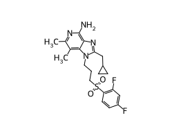 Cc1nc(N)c2nc(CC3CC3)n(CCCS(=O)(=O)c3ccc(F)cc3F)c2c1C